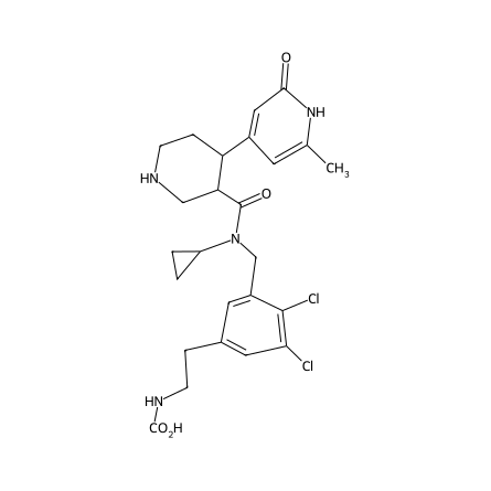 Cc1cc(C2CCNCC2C(=O)N(Cc2cc(CCNC(=O)O)cc(Cl)c2Cl)C2CC2)cc(=O)[nH]1